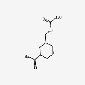 CC(C)(C)C(=O)OCC1CCCC(C(=O)C(C)(C)C)C1